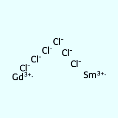 [Cl-].[Cl-].[Cl-].[Cl-].[Cl-].[Cl-].[Gd+3].[Sm+3]